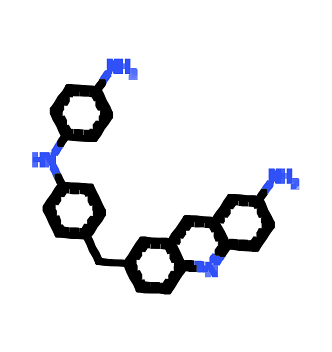 Nc1ccc(Nc2ccc(Cc3ccc4nc5ccc(N)cc5cc4c3)cc2)cc1